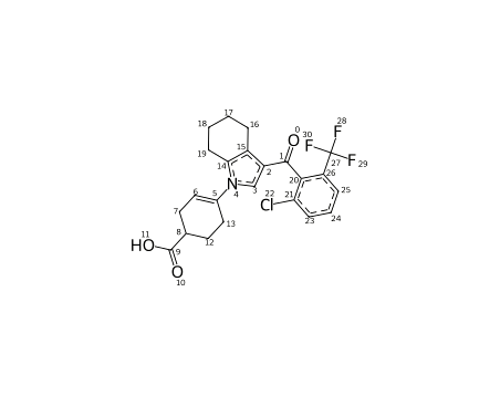 O=C(c1cn(C2=CCC(C(=O)O)CC2)c2c1CCCC2)c1c(Cl)cccc1C(F)(F)F